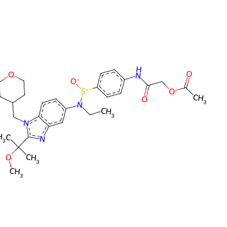 CCN(c1ccc2c(c1)nc(C(C)(C)OC)n2CC1CCOCC1)[S+]([O-])c1ccc(NC(=O)COC(C)=O)cc1